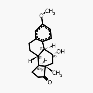 COc1ccc2c(c1)CC[C@@H]1[C@@H]2[C@H](O)C[C@]2(C)C(=O)CC[C@@H]12